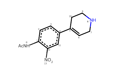 CC(=O)Nc1ccc(C2=CCNCC2)cc1[N+](=O)[O-]